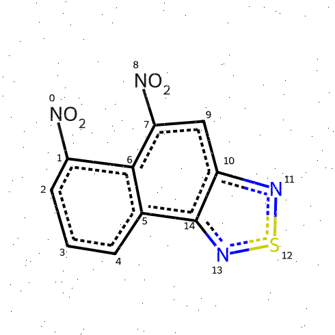 O=[N+]([O-])c1cccc2c1c([N+](=O)[O-])cc1nsnc12